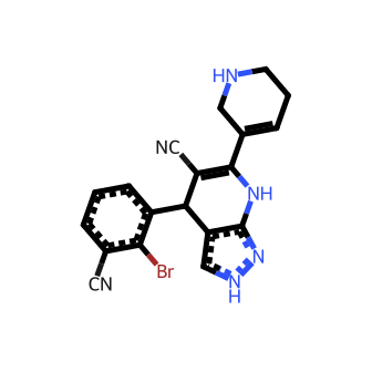 N#CC1=C(C2=CCCNC2)Nc2n[nH]cc2C1c1cccc(C#N)c1Br